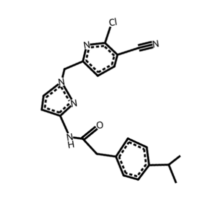 CC(C)c1ccc(CC(=O)Nc2ccn(Cc3ccc(C#N)c(Cl)n3)n2)cc1